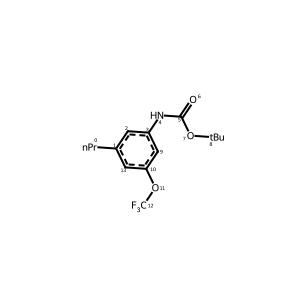 CCCc1cc(NC(=O)OC(C)(C)C)cc(OC(F)(F)F)c1